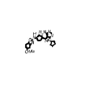 COc1ccc2oc(Nc3ccc(-c4nn(C5CCCC5)c5ncnc(N)c45)cc3)nc2c1